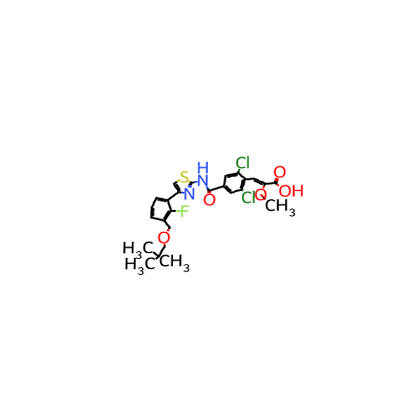 COC(=Cc1c(Cl)cc(C(=O)Nc2nc(-c3cccc(COCC(C)(C)C)c3F)cs2)cc1Cl)C(=O)O